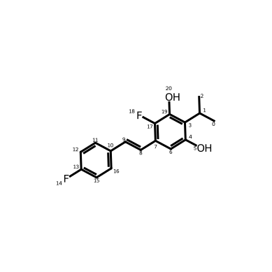 CC(C)c1c(O)cc(C=Cc2ccc(F)cc2)c(F)c1O